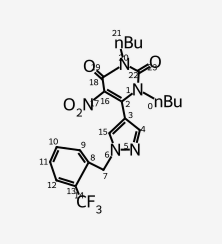 CCCCn1c(-c2cnn(Cc3ccccc3C(F)(F)F)c2)c([N+](=O)[O-])c(=O)n(CCCC)c1=O